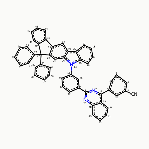 N#Cc1cccc(-c2nc(-c3cccc(-n4c5ccccc5c5cc6c(cc54)C(c4ccccc4)(c4ccccc4)c4ccccc4-6)c3)nc3ccccc23)c1